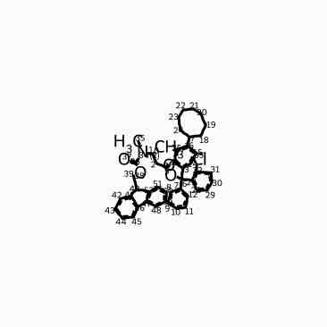 C[C@H](CC(=O)OC(c1ccccc1)(c1ccc(C2CCCCCCC2)cc1)c1ccccc1Cl)N(C)C(=O)OCC1c2ccccc2-c2ccccc21